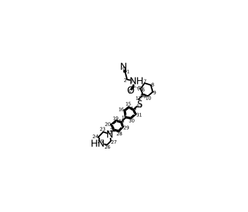 N#CCNC(=O)[C@@H]1CCCC[C@H]1CSc1ccc(-c2ccc(N3CCNCC3)cc2)cc1